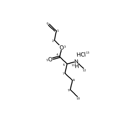 C=CCOC(=O)C(CCCC)NC.Cl